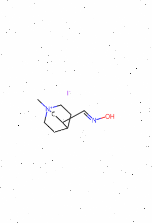 C[N+]12CCC(CC1)C(C=NO)C2.[I-]